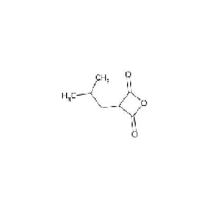 CC(C)CC1C(=O)OC1=O